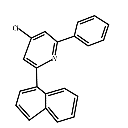 Clc1cc(-c2ccccc2)nc(-c2cccc3ccccc23)c1